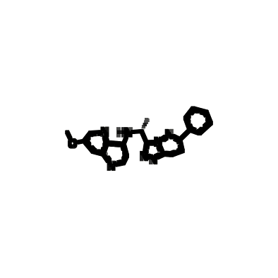 COc1cnc2c(N[C@H](C)c3nnc4ccc(-c5ccccc5)nn34)ccnc2c1